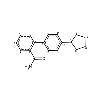 NC(=O)c1ccccc1-c1ccc(C2CCCC2)cc1